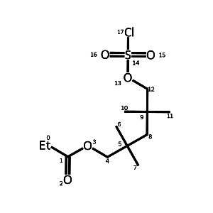 CCC(=O)OCC(C)(C)CC(C)(C)COS(=O)(=O)Cl